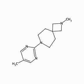 Cc1cnc(N2CCC3(CC2)CN(C)C3)nc1